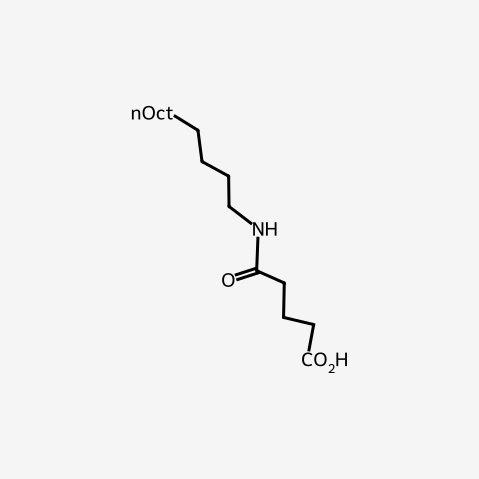 CCCCCCCCCCCCNC(=O)CCCC(=O)O